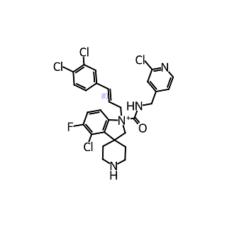 O=C(NCc1ccnc(Cl)c1)[N+]1(C/C=C/c2ccc(Cl)c(Cl)c2)CC2(CCNCC2)c2c1ccc(F)c2Cl